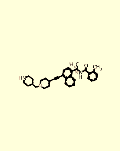 Cc1ccccc1C(=O)N[C@H](C)c1ccc(C#CC2CCN(CC3CCNCC3)CC2)c2ccccc12